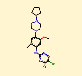 [2H]c1nc(Nc2cc(OC)c(N3CCN(C4CCCC4)CC3)cc2C)ncc1Br